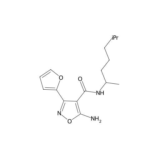 CC(C)CCCC(C)NC(=O)c1c(-c2ccco2)noc1N